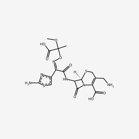 COC(C)(O/N=C(\C(=O)NC1C(=O)N2C(C(=O)O)=C(CN)CS[C@H]12)c1csc(N)n1)C(=O)O